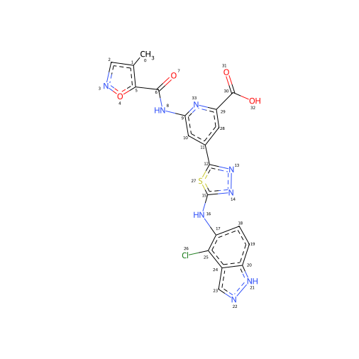 Cc1cnoc1C(=O)Nc1cc(-c2nnc(Nc3ccc4[nH]ncc4c3Cl)s2)cc(C(=O)O)n1